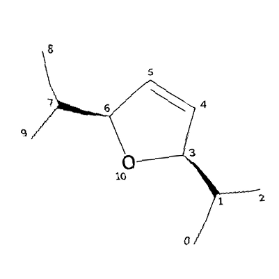 CC(C)[C@@H]1C=C[C@H](C(C)C)O1